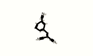 N#CC(C#N)=Cc1cc[c]c(C#N)c1